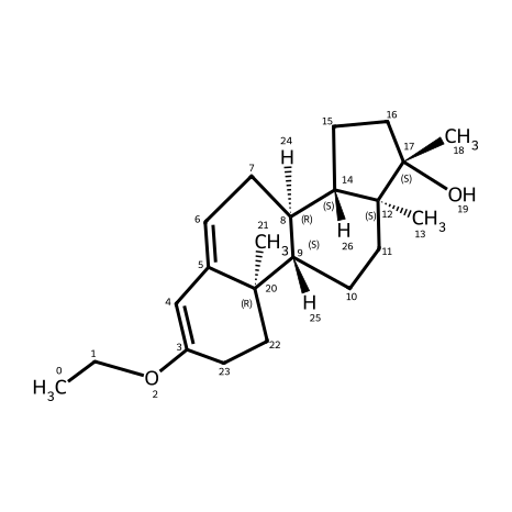 CCOC1=CC2=CC[C@@H]3[C@H](CC[C@@]4(C)[C@H]3CC[C@]4(C)O)[C@@]2(C)CC1